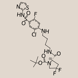 CC(C)(C)OC(=O)N1CC(F)(F)C[C@H]1C(=O)NCCCCNc1cc(F)c(S(=O)(=O)Nc2nccs2)cc1Cl